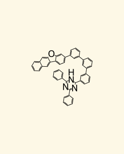 c1ccc(C2=NC(c3cccc(-c4cccc(-c5cccc(-c6ccc7c(c6)oc6cc8ccccc8cc67)c5)c4)c3)NC(c3ccccc3)=N2)cc1